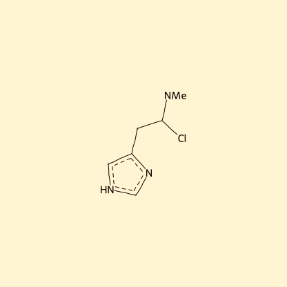 CNC(Cl)Cc1c[nH]cn1